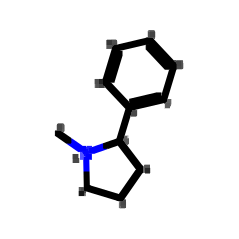 CN1CCCC1c1c[c]ccc1